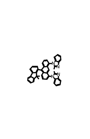 Cc1nc2ccccc2n1-c1cccc2c(-c3cccc4c3C(C)(C)c3ccccc3-4)c3cccc(-n4c(C)nc5ccccc54)c3cc12